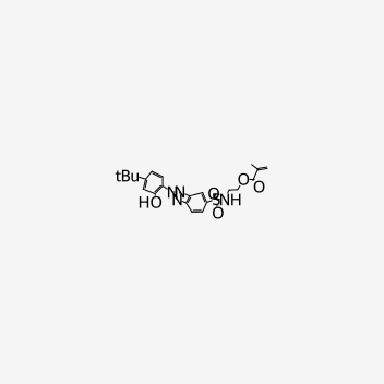 C=C(C)C(=O)OCCNS(=O)(=O)c1ccc2c(c1)n1n(-c3ccc(C(C)(C)C)cc3O)n21